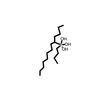 CCCCCCCCC(CCCC)P(O)(O)(O)CCCC